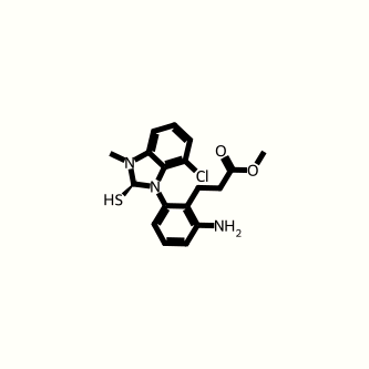 COC(=O)CCc1c(N)cccc1N1c2c(Cl)cccc2N(C)[C@@H]1S